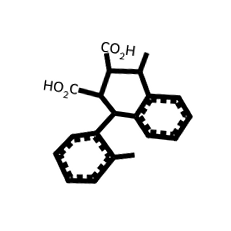 Cc1ccccc1C1c2ccccc2C(C)C(C(=O)O)C1C(=O)O